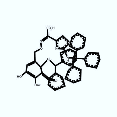 CC(=O)OC1=C(O)C=C(CON=C(C(=O)O)c2csc(NC(c3ccccc3)(c3ccccc3)c3ccccc3)n2)C(OC(c2ccccc2)c2ccccc2)C1=C=O